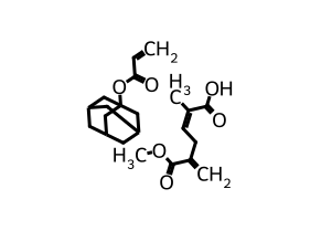 C=C(CC=C(C)C(=O)O)C(=O)OC.C=CC(=O)OC12CC3CC(CC(C3)C1)C2